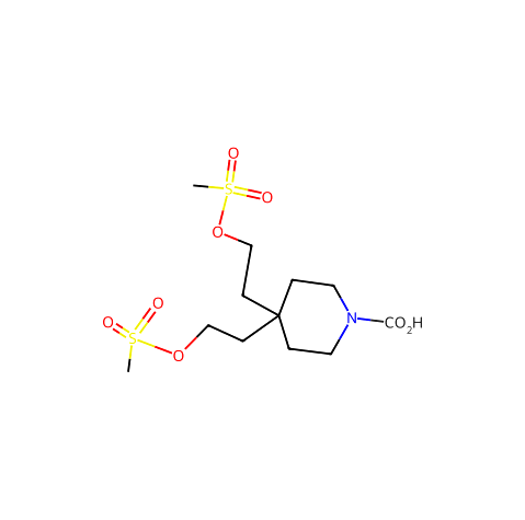 CS(=O)(=O)OCCC1(CCOS(C)(=O)=O)CCN(C(=O)O)CC1